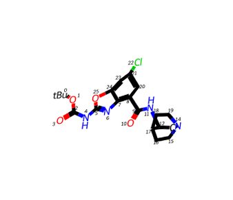 CC(C)(C)OC(=O)Nc1nc2c(C(=O)NC3CN4CCC3CC4)cc(Cl)cc2o1